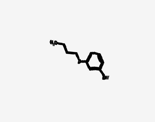 [CH2]CCCOc1cccc(O)c1